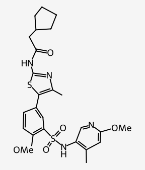 COc1cc(C)c(NS(=O)(=O)c2cc(-c3sc(NC(=O)CC4CCCC4)nc3C)ccc2OC)cn1